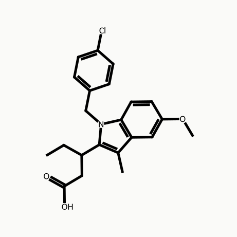 CCC(CC(=O)O)c1c(C)c2cc(OC)ccc2n1Cc1ccc(Cl)cc1